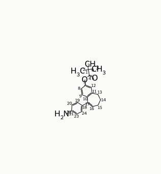 CC(C)(C)C(=O)Oc1ccc2c(c1)CCCC=C2c1ccc(N)cc1